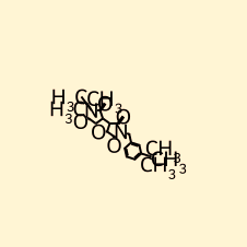 CC(C)(C)c1cccc(CN2C(=O)C3OC4C(=O)N(C(C)(C)C)C(=O)C4C3C2=O)c1